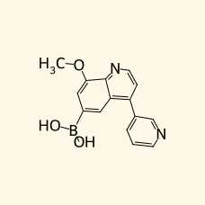 COc1cc(B(O)O)cc2c(-c3cccnc3)ccnc12